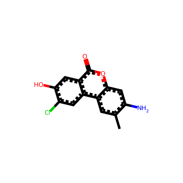 Cc1cc2c(cc1N)oc(=O)c1cc(O)c(Cl)cc12